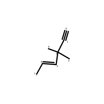 C#CC(C)(C)C=C[CH2]